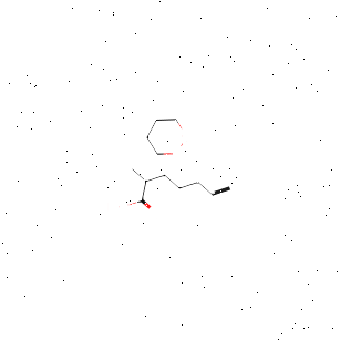 C1CCOOC1.C=CCCCC(C)C(=O)O